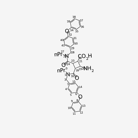 CCCN(Cc1ccc(Oc2ccccc2)cc1)C(=O)C1C(N)C(C(=O)O)C1C(=O)N(CCC)Cc1ccc(Oc2ccccc2)cc1